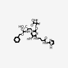 CCCc1cn(C[C@H](NC(=O)OCc2ccccc2)C(=O)O)c(=O)nc1NCCC(=O)Nc1ncc[nH]1.O=C(O)C(F)(F)F